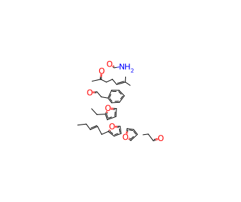 CC(=O)CCC=C(C)C.CCC=CCc1ccco1.CCC=O.CCc1ccco1.NC=O.O=CCc1ccccc1.c1ccoc1